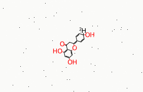 [2H]C1(O)C=CC(=C2CC(=O)c3c(O)cc(O)cc3O2)C=C1